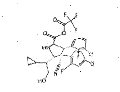 N#C[C@]1(c2ccc(Cl)cc2F)[C@H](C(CO)C2CC2)N[C@@H](C(=O)OC(=O)C(F)(F)F)[C@@H]1c1cccc(Cl)c1F